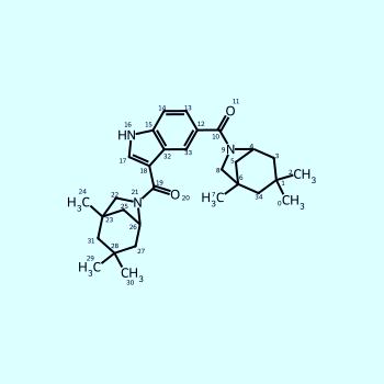 CC1(C)CC2CC(C)(CN2C(=O)c2ccc3[nH]cc(C(=O)N4CC5(C)CC4CC(C)(C)C5)c3c2)C1